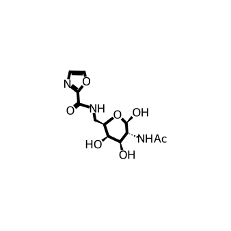 CC(=O)N[C@@H]1[C@@H](O)[C@@H](O)[C@@H](CNC(=O)c2ncco2)O[C@H]1O